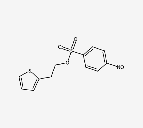 O=Nc1ccc(S(=O)(=O)OCCc2cccs2)cc1